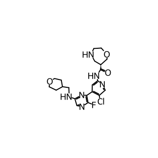 O=C(Nc1cc(-c2nc(NCC3CCOCC3)cnc2F)c(Cl)cn1)[C@H]1CNCCOC1